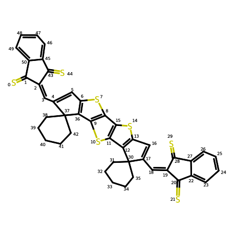 S=C1C(=CC2=Cc3sc4c(sc5c6c(sc54)C=C(C=C4C(=S)c5ccccc5C4=S)C64CCCCC4)c3C23CCCCC3)C(=S)c2ccccc21